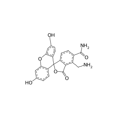 NCc1c(C(N)=O)ccc2c1C(=O)OC21c2ccc(O)cc2Oc2cc(O)ccc21